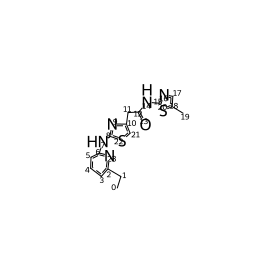 CCc1cccc(Nc2nc(CC(=O)Nc3ncc(C)s3)cs2)n1